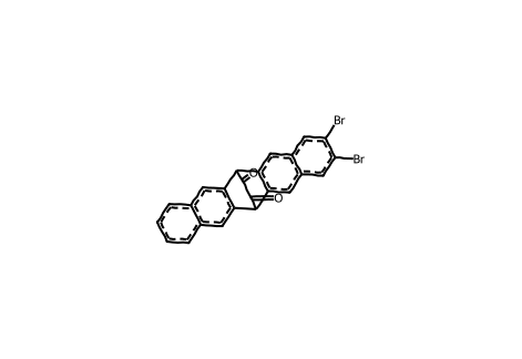 O=C1C(=O)C2c3cc4ccccc4cc3C1c1cc3cc(Br)c(Br)cc3cc12